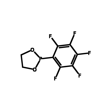 Fc1c(F)c(F)c(P2OCCO2)c(F)c1F